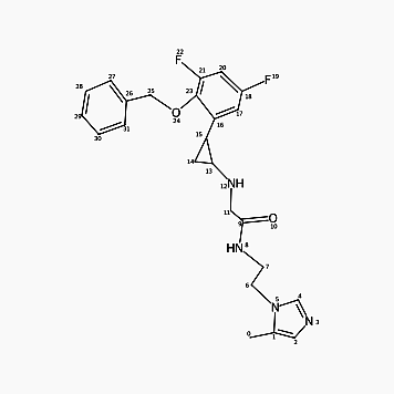 Cc1cncn1CCNC(=O)CNC1CC1c1cc(F)cc(F)c1OCc1ccccc1